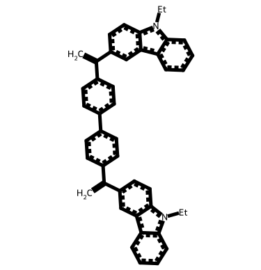 C=C(c1ccc(-c2ccc(C(=C)c3ccc4c(c3)c3ccccc3n4CC)cc2)cc1)c1ccc2c(c1)c1ccccc1n2CC